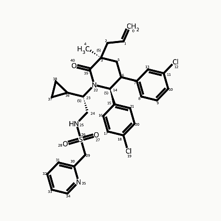 C=CC[C@@]1(C)CC(c2cccc(Cl)c2)[C@@H](c2ccc(Cl)cc2)N([C@H](CNS(=O)(=O)Cc2ccccn2)C2CC2)C1=O